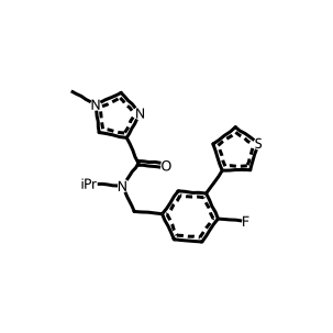 CC(C)N(Cc1ccc(F)c(-c2ccsc2)c1)C(=O)c1cn(C)cn1